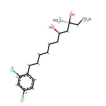 O=C(O)C[C@](O)(C[C@H](O)CCCCCCc1ccc(Cl)cc1Cl)C(=O)O